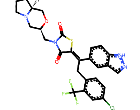 O=C1S/C(=C(/Cc2ccc(Cl)cc2C(F)(F)F)c2ccc3[nH]ncc3c2)C(=O)N1C[C@H]1CN2CCC[C@H]2CO1